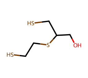 OCC(CS)SCCS